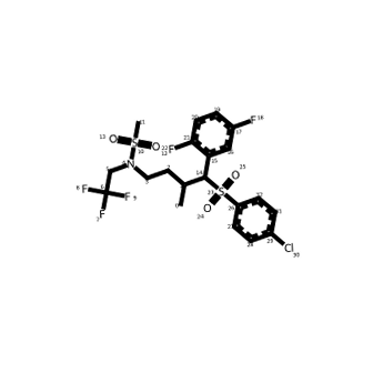 CC(CCN(CC(F)(F)F)S(C)(=O)=O)C(c1cc(F)ccc1F)S(=O)(=O)c1ccc(Cl)cc1